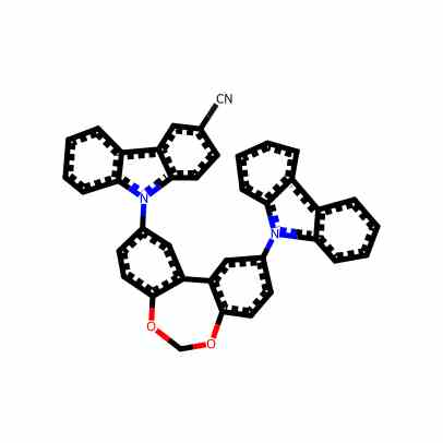 N#Cc1ccc2c(c1)c1ccccc1n2-c1ccc2c(c1)-c1cc(-n3c4ccccc4c4ccccc43)ccc1OCO2